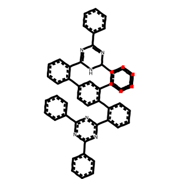 c1ccc(C2=NC(c3ccccc3)NC(c3ccccc3-c3ccc(-c4ccccc4-c4nc(-c5ccccc5)nc(-c5ccccc5)n4)c(-c4ccccn4)c3)=N2)cc1